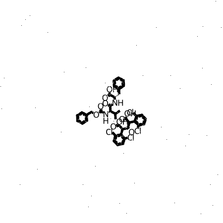 CC(C)[C@H](NC(=O)OCc1ccccc1)C(=O)N[C@@H](Cc1ccccc1)C(=O)O.O=C(O)C(C(=O)C(C(=O)O)c1c(Cl)cccc1Cl)c1c(Cl)cccc1Cl